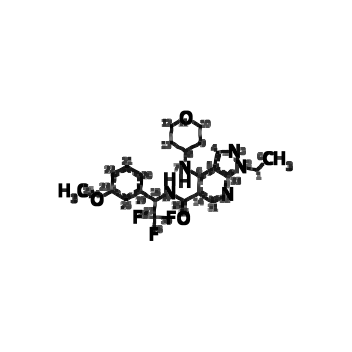 CCn1ncc2c(NC3CCOCC3)c(C(=O)NC(c3cccc(OC)c3)C(F)(F)F)cnc21